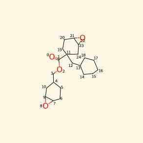 O=C(OCC1CCC2OC2C1)C1(CC2CCCCC2)CCC2OC2C1